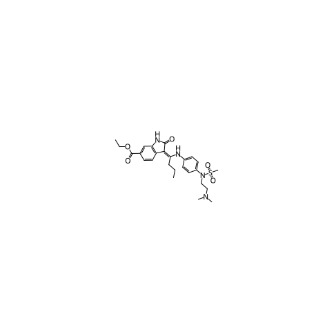 CCC/C(Nc1ccc(N(CCN(C)C)S(C)(=O)=O)cc1)=C1/C(=O)Nc2cc(C(=O)OCC)ccc21